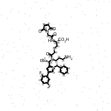 CC(C)(C)[C@H](c1cc(-c2cc(F)ccc2F)cn1Cc1ccccc1)N(CCCN)C(=O)CSC[C@H](NC(=O)CN1C(=O)C=CC1=O)C(=O)O